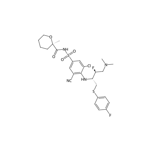 CN(C)C[C@H](F)[C@H](CSc1ccc(F)cc1)Nc1c(Cl)cc(S(=O)(=O)NC(=O)[C@@]2(C)CCCCO2)cc1C#N